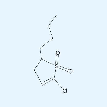 CCCCC1CC=C(Cl)S1(=O)=O